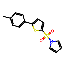 Cc1ccc(-c2ccc(S(=O)(=O)n3cccc3)s2)cc1